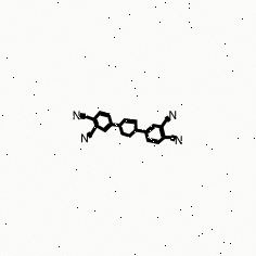 N#Cc1ccc(C2C=CC(c3ccc(C#N)c(C#N)c3)CC2)cc1C#N